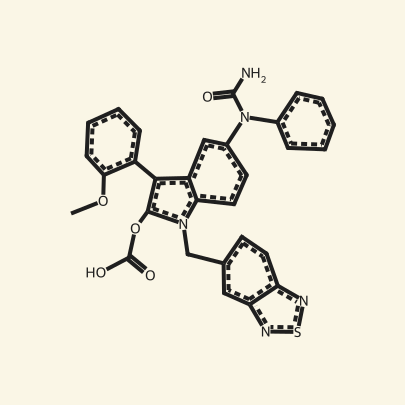 COc1ccccc1-c1c(OC(=O)O)n(Cc2ccc3nsnc3c2)c2ccc(N(C(N)=O)c3ccccc3)cc12